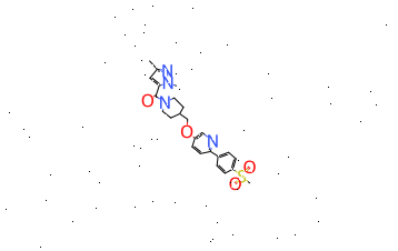 Cc1cc(C(=O)N2CCC(COc3ccc(-c4ccc(S(C)(=O)=O)cc4)nc3)CC2)n(C)n1